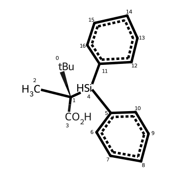 CC(C)(C)[C@](C)(C(=O)O)[SiH](c1ccccc1)c1ccccc1